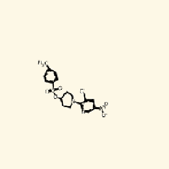 Cc1ccc(S(=O)(=O)OC2CCN(c3ncc([N+](=O)[O-])cc3Cl)CC2)cc1